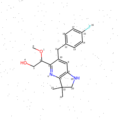 COC(CO)c1nc2c(cc1Cc1ccc(F)cc1)NCC2(C)C